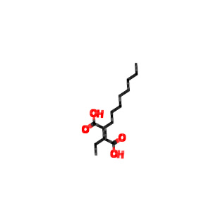 CCCCCCCC/C(C(=O)O)=C(/CC)C(=O)O